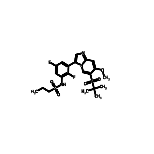 CCCS(=O)(=O)Nc1cc(F)cc(-c2cnc3cc(OC)c(S(=O)(=O)C(C)(C)C)cn23)c1F